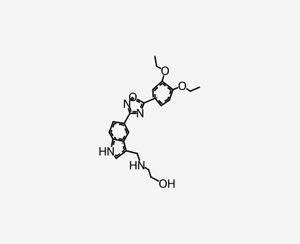 CCOc1ccc(-c2nc(-c3ccc4[nH]cc(CNCCO)c4c3)no2)cc1OCC